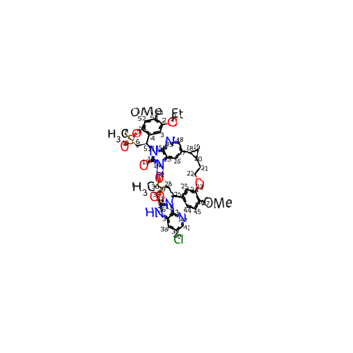 CCOc1cc([C@H](CS(C)(=O)=O)n2c(=O)[nH]c3cc(C4CC4CCOc4cc([C@H](CS(C)(=O)=O)n5c(=O)[nH]c6cc(Cl)cnc65)ccc4OC)cnc32)ccc1OC